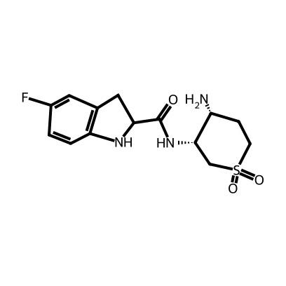 N[C@@H]1CCS(=O)(=O)C[C@@H]1NC(=O)C1Cc2cc(F)ccc2N1